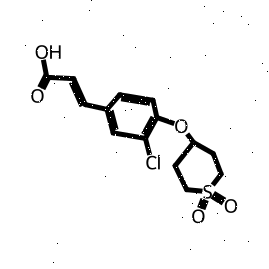 O=C(O)/C=C/c1ccc(OC2CCS(=O)(=O)CC2)c(Cl)c1